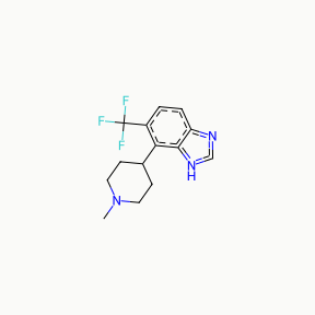 CN1CCC(c2c(C(F)(F)F)ccc3nc[nH]c23)CC1